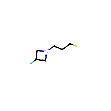 FC1CN(CCCS)C1